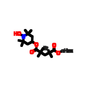 CCCCCCOC(=O)C(C)(CC)CC(C)(C)C(=O)OC1CC(C)(C)N(O)C(C)(C)C1